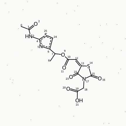 CC(=O)Nc1nc(C(C)OC(=O)C=C2SC(=O)N(CC(=O)O)C2=O)cs1